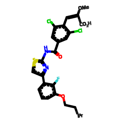 COC(=Cc1c(Cl)cc(C(=O)Nc2nc(-c3cccc(OCCC(C)C)c3F)cs2)cc1Cl)C(=O)O